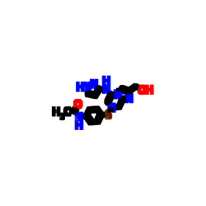 CC(=O)Nc1ccc(SN2C=C(Nc3cc[nH]n3)[N+]3C=C(CO)N=C3C2)cc1